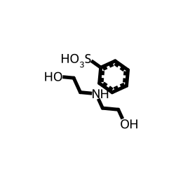 O=S(=O)(O)c1ccccc1.OCCNCCO